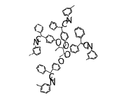 Cc1cccc(N=C=C(c2ccccc2)c2ccc(OCC(Oc3ccc(C(=C=Nc4cccc(C)c4)c4ccccc4)cc3)C(Oc3ccc(C(=C=Nc4cccc(C)c4)c4ccccc4)cc3)C(C)Oc3ccc(C(=C=Nc4cccc(C)c4)c4ccccc4)cc3)cc2)c1